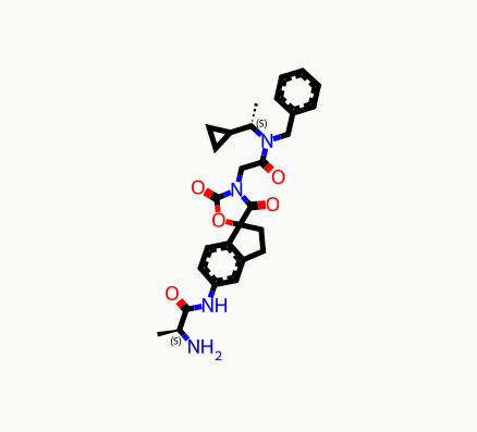 C[C@H](N)C(=O)Nc1ccc2c(c1)CCC21OC(=O)N(CC(=O)N(Cc2ccccc2)[C@@H](C)C2CC2)C1=O